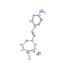 CC[C@H]1CC(/C=C/c2ccc(N)cc2)CCCC1C